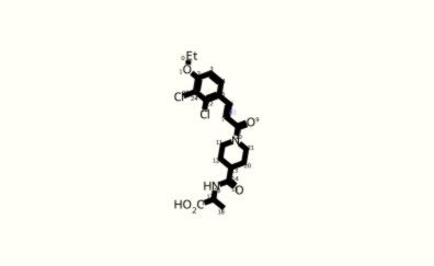 CCOc1ccc(/C=C/C(=O)N2CCC(C(=O)NC(C)C(=O)O)CC2)c(Cl)c1Cl